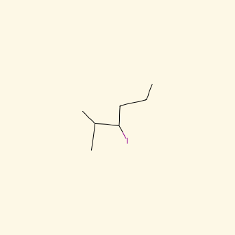 CCCC(I)C(C)C